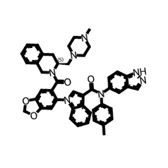 Cc1ccc(N(C(=O)c2cn(-c3cc4c(cc3C(=O)N3Cc5ccccc5C[C@H]3CN3CCN(C)CC3)OCO4)c3ccccc23)c2ccc3[nH]ncc3c2)cc1